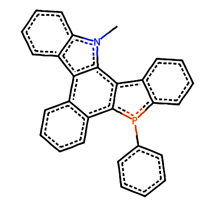 Cn1c2ccccc2c2c3ccccc3c3c(c4ccccc4p3-c3ccccc3)c21